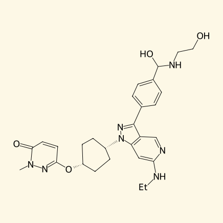 CCNc1cc2c(cn1)c(-c1ccc(C(O)NCCO)cc1)nn2[C@H]1CC[C@@H](Oc2ccc(=O)n(C)n2)CC1